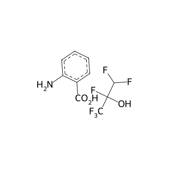 Nc1ccccc1C(=O)O.OC(F)(C(F)F)C(F)(F)F